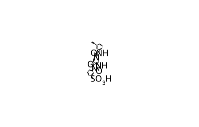 C#Cc1cccc(NC(=O)N2CCC3(CC2)NC(=O)N(c2cccc(S(=O)(=O)O)c2)C3=O)c1